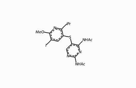 COc1nc(C(C)C)c(Sc2cnc(NC(C)=O)nc2NC(C)=O)cc1I